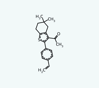 C=Cc1ccc(-c2sc3c(c2C(C)=O)CC(C)(C)CC3)cc1